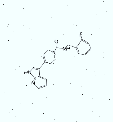 O=C(NCc1ccccc1F)N1CC=C(c2c[nH]c3ncccc23)CC1